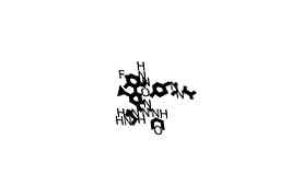 CC(C)=C(C)/N=C(/C)N(C)Cc1ccc(COc2c(-c3c(C)c(F)cc4[nH]ncc34)c(C3CC3)cc3c(N4C[C@@H]5C[C@H]4CN5)nc(NC4CCOCC4)nc23)cc1